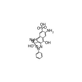 Nc1cc2c(O)c(N=Nc3ccccc3)c(S(=O)(=O)O)cc2cc1S(=O)(=O)O.[NaH]